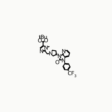 Cn1c(C(=O)OC(C)(C)C)cnc1CN1CC[C@H](n2c(=O)n(-c3ccc(C(F)(F)F)cc3)c3cccnc32)C1